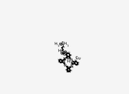 CN(C)CCCNS(=O)(=O)Oc1cccc2c3nc4nc(nc5[nH]c(nc6nc(nc([nH]3)c12)-c1ccccc1-6)c1ccccc51)-c1ccccc1-4.[Cu]